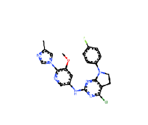 COc1cc(Nc2nc(Cl)c3c(n2)N(c2ccc(F)cc2)CC3)cnc1-n1cnc(C)c1